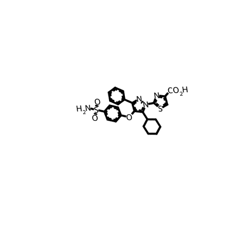 NS(=O)(=O)c1ccc(Oc2c(-c3ccccc3)nn(-c3nc(C(=O)O)cs3)c2C2CCCCC2)cc1